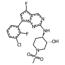 CS(=O)(=O)N1CC[C@@H](Nc2ncc3c(F)cc(-c4cccc(Cl)c4F)n3n2)[C@H](O)C1